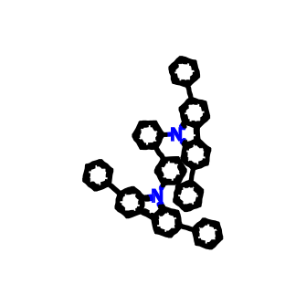 c1ccc(-c2ccc3c4ccc(-c5ccccc5)cc4n(-c4cccc(-c5ccccc5-n5c6cc(-c7ccccc7)ccc6c6ccc(-c7ccccc7)cc65)c4)c3c2)cc1